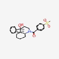 CS(=O)(=O)c1ccc(C(=O)N2CC[C@@](O)(c3ccccc3)[C@H]3CCCCC32)cc1